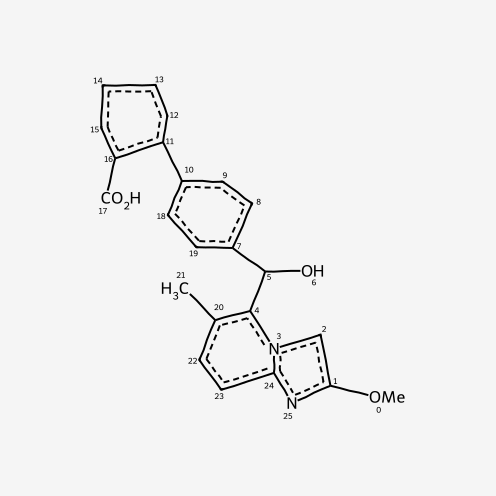 COc1cn2c(C(O)c3ccc(-c4ccccc4C(=O)O)cc3)c(C)ccc2n1